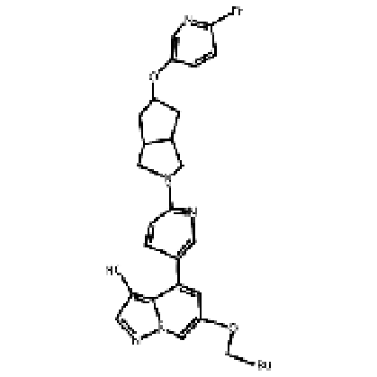 CCc1ccc(OC2CC3CN(c4ccc(-c5cc(OCC(C)CC)cn6ncc(C#N)c56)cn4)CC3C2)cn1